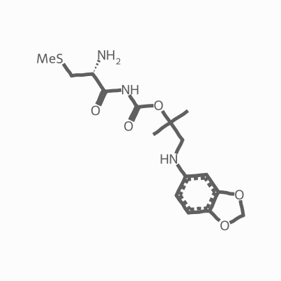 CSC[C@H](N)C(=O)NC(=O)OC(C)(C)CNc1ccc2c(c1)OCO2